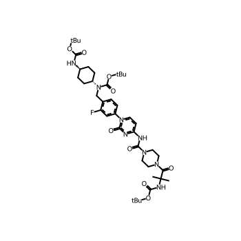 CC(C)(C)OC(=O)NC(C)(C)C(=O)N1CCN(C(=O)Nc2ccn(-c3ccc(CN(C(=O)OC(C)(C)C)[C@H]4CC[C@H](NC(=O)OC(C)(C)C)CC4)c(F)c3)c(=O)n2)CC1